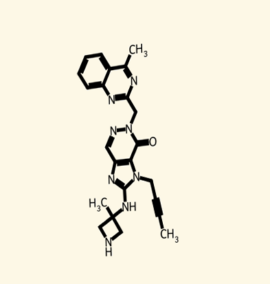 CC#CCn1c(NC2(C)CNC2)nc2cnn(Cc3nc(C)c4ccccc4n3)c(=O)c21